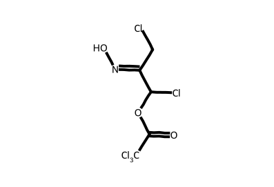 O=C(OC(Cl)C(CCl)=NO)C(Cl)(Cl)Cl